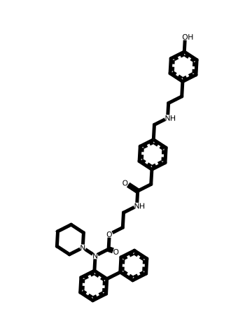 O=C(Cc1ccc(CNCCc2ccc(O)cc2)cc1)NCCOC(=O)N(c1ccccc1-c1ccccc1)N1CC[CH]CC1